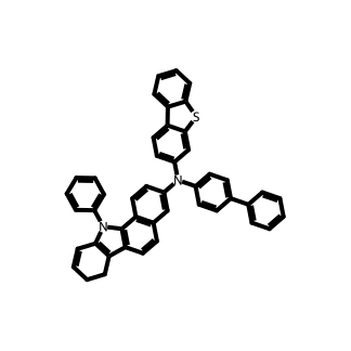 C1=Cc2c(c3ccc4cc(N(c5ccc(-c6ccccc6)cc5)c5ccc6c(c5)sc5ccccc56)ccc4c3n2-c2ccccc2)CC1